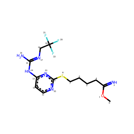 COC(=N)CCCCSc1nccc(NC(N)=NCC(F)(F)F)n1